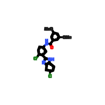 COc1cc(OC)cc(C(=O)Nc2ccc(Cl)c(-c3nc4cc(Cl)ccc4[nH]3)c2)c1